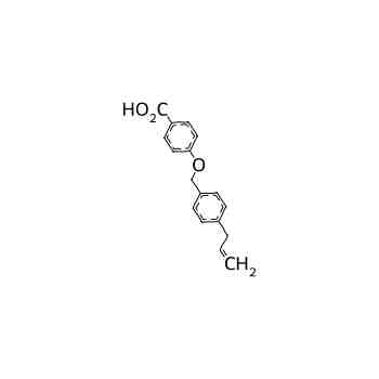 C=CCc1ccc(COc2ccc(C(=O)O)cc2)cc1